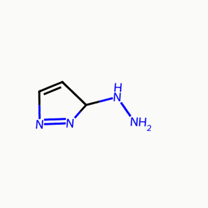 NNC1C=CN=N1